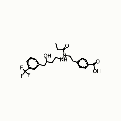 CCC(=O)N(CCc1ccc(C(=O)O)cc1)NCCC(O)Cc1cccc(C(F)(F)F)c1